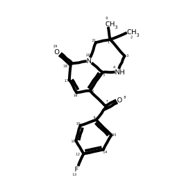 CC1(C)CNc2c(C(=O)c3ccc(F)cc3)ccc(=O)n2C1